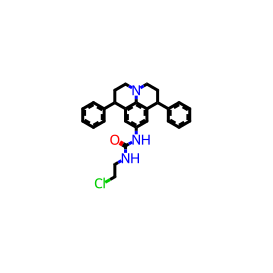 O=C(NCCCl)Nc1cc2c3c(c1)C(c1ccccc1)CCN3CCC2c1ccccc1